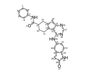 O=C(Nc1ccccc1)C1CCc2c(sc3ncnc(Nc4ccc5[nH]c(=O)sc5c4)c23)C1